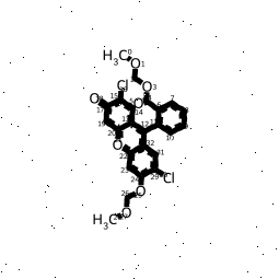 COCOC(=O)c1ccccc1-c1c2cc(Cl)c(=O)cc-2oc2cc(OCOC)c(Cl)cc12